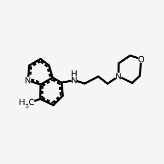 Cc1ccc(NCCCN2CCOCC2)c2cccnc12